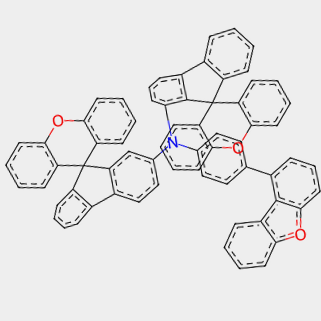 c1ccc2c(c1)Oc1ccccc1C21c2ccccc2-c2ccc(N(c3ccc(-c4cccc5oc6ccccc6c45)cc3)c3cccc4c3C3(c5ccccc5Oc5ccccc53)c3ccccc3-4)cc21